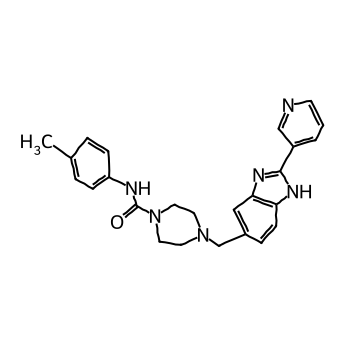 Cc1ccc(NC(=O)N2CCN(Cc3ccc4[nH]c(-c5cccnc5)nc4c3)CC2)cc1